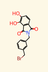 O=C1c2ccc(O)c(O)c2C(=O)N1Cc1cccc(CBr)c1